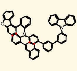 c1cc(-c2ccc(N(c3ccccc3-c3ccc4ccccc4c3)c3ccccc3-c3cccc4oc5ccccc5c34)cc2)cc(-c2cccc(-n3c4ccccc4c4ccccc43)c2)c1